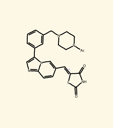 CC(=O)N1CCN(Cc2cccc(-c3cnc4ccc(/C=C5\SC(=O)NC5=O)cn34)c2)CC1